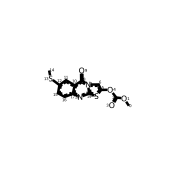 COC(=O)Oc1cn2c(=O)c3cc(SC)ccc3nc2s1